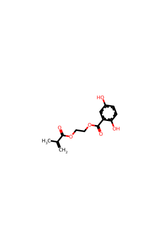 C=C(C)C(=O)OCCOC(=O)c1cc(O)ccc1O